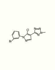 Cn1nnc(-c2cnn(-c3cccc(Br)c3)c2Cl)n1